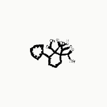 O=C(O)C1(C(=O)O)C=CC=C(c2ccccc2)C1(C(=O)O)C(=O)O